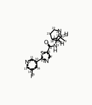 C[C@H]1[C@H](NC(=O)c2cnc(-c3cncc(F)c3)s2)C2CCN1CC2